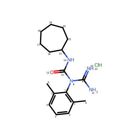 Cc1cccc(C)c1N(C(=N)N)C(=O)NC1CCCCCC1.Cl